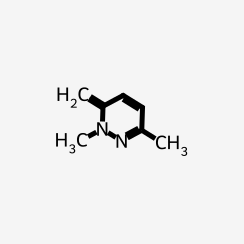 C=C1C=CC(C)=NN1C